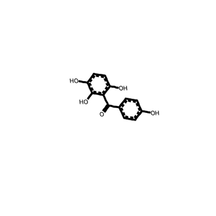 O=C(c1ccc(O)cc1)c1c(O)ccc(O)c1O